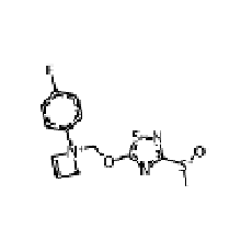 C[S+]([O-])c1nsc(OC[N+]2(c3ccc(F)cc3)C=CC2)n1